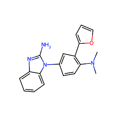 CN(C)c1ccc(-n2c(N)nc3ccccc32)cc1-c1ccco1